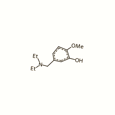 CCN(CC)Cc1ccc(OC)c(O)c1